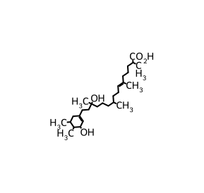 C/C(=C\CCC(C)CCCC(C)(O)CCC1=CC(O)C(C)C(C)C1)CCCC(C)C(=O)O